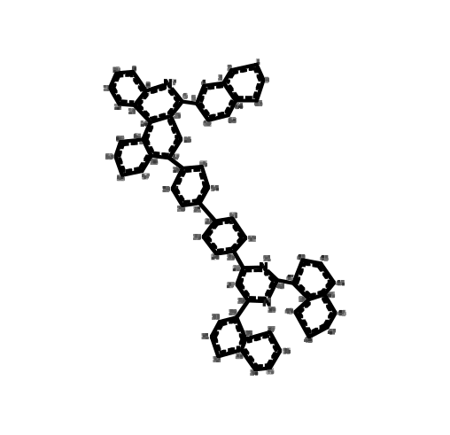 c1ccc2cc(-c3nc4ccccc4c4c3cc(-c3ccc(-c5ccc(-c6cc(-c7cccc8ccccc78)nc(-c7cccc8ccccc78)n6)cc5)cc3)c3ccccc34)ccc2c1